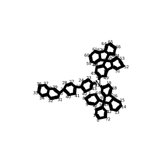 c1ccc(C2(c3ccccc3)c3ccccc3-c3ccc(N(c4ccc(-c5ccc(-c6ccc7ccccc7c6)cc5)cc4)c4ccc5c(c4)-c4ccccc4C54c5ccccc5-c5ccccc54)cc32)cc1